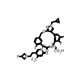 Cc1cc2cc(c1F)[C@H](CC(=O)O)NC(=O)[C@@H](n1cc(CCN3CC(F)C3)c(C(F)(F)F)cc1=O)c1cc(ccc1F)COc1nn(CC3CC3)cc1-2